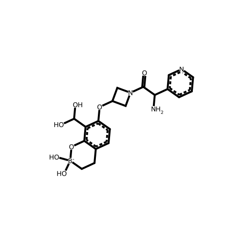 NC(C(=O)N1CC(Oc2ccc3c(c2C(O)O)O[B-](O)(O)CC3)C1)c1cccnc1